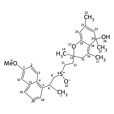 COc1ccc2c(C(C)C[S+]([O-])CCC3(C)CC(C)=C4C(=CC(C)=CC4(C)O)O3)cccc2c1